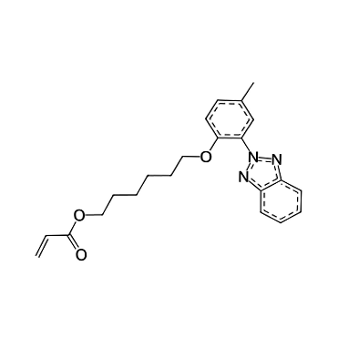 C=CC(=O)OCCCCCCOc1ccc(C)cc1-n1nc2ccccc2n1